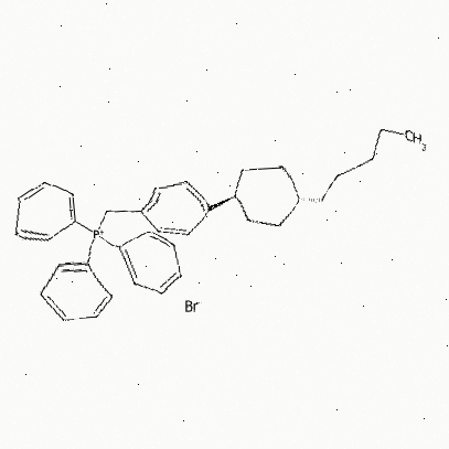 CCCCC[C@H]1CC[C@H](c2ccc(C[P+](c3ccccc3)(c3ccccc3)c3ccccc3)cc2)CC1.[Br-]